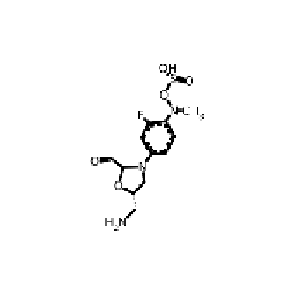 CN(O[SH](=O)=O)c1ccc(N2C[C@H](CN)OC2C=O)cc1F